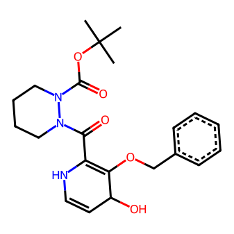 CC(C)(C)OC(=O)N1CCCCN1C(=O)C1=C(OCc2ccccc2)C(O)C=CN1